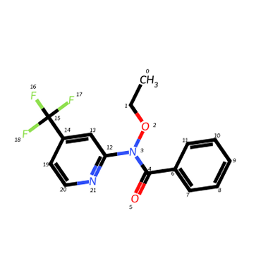 CCON(C(=O)c1ccccc1)c1cc(C(F)(F)F)ccn1